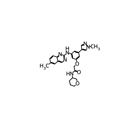 Cc1ccc2nc(Nc3cc(OCC(=O)NC4CCCOC4)cc(-c4cnn(C)c4)c3)ncc2c1